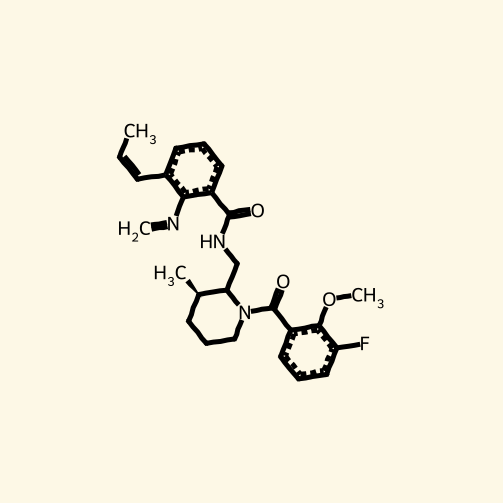 C=Nc1c(/C=C\C)cccc1C(=O)NCC1[C@H](C)CCCN1C(=O)c1cccc(F)c1OC